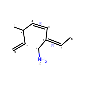 C=CC(C)/C=C\C(=C/C)CN